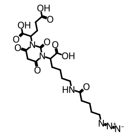 [N-]=[N+]=NCCCCC(=O)NCCCCC(C(=O)O)N1C(=O)CC(=O)N(C(CCC(=O)O)C(=O)O)C1=O